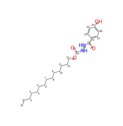 CCCCCCCCCCCCCCOC(=O)NNC(=O)c1ccc(O)cc1